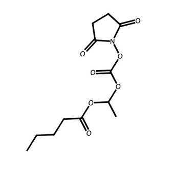 CCCCC(=O)OC(C)OC(=O)ON1C(=O)CCC1=O